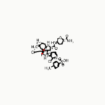 CC1(C)CCC2(CC1)N[C@@H](C(=O)N[C@@H]1CC[C@@H](C(N)=O)OC1)[C@H](c1ccnc(Cl)c1F)[C@]21C(=O)Nc2cc(Cl)ccc21.Cc1ccc(S(=O)(=O)O)cc1